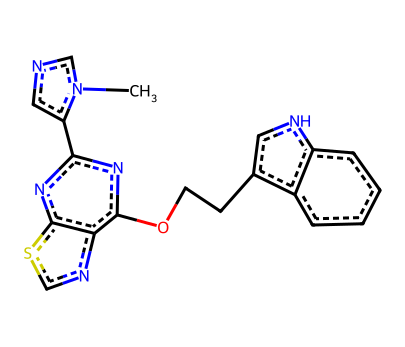 Cn1cncc1-c1nc(OCCc2c[nH]c3ccccc23)c2ncsc2n1